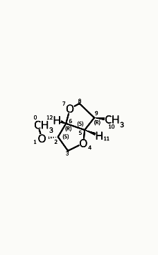 CO[C@H]1CO[C@@H]2[C@H]1OC[C@H]2C